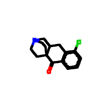 O=C1c2cccc(Cl)c2CC2CN3CCC12CC3